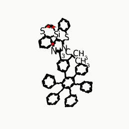 CC(C)(C)c1cc(-c2c(-c3ccccc3)c(-c3ccccc3)c(-c3ccccc3)c(-c3ccccc3)c2-c2ccccc2)ccc1-c1ncc2c(n1)Sc1ccccc1[Si]21c2ccccc2Sc2ccccc21